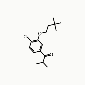 CC(C)C(=O)c1ccc(Cl)c(OCCC(C)(C)C)c1